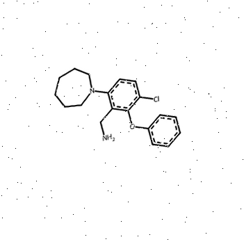 NCc1c(N2CCCCCC2)ccc(Cl)c1Oc1ccccc1